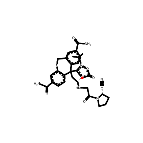 CC(C)n1oc(=O)nc1C1(C[C@H](C)NCC(=O)N2CCC[C@H]2C#N)c2ccc(C(N)=O)cc2CCc2cc(C(N)=O)ccc21